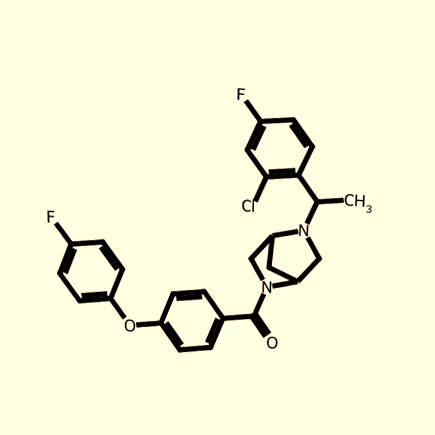 CC(c1ccc(F)cc1Cl)N1CC2CC1CN2C(=O)c1ccc(Oc2ccc(F)cc2)cc1